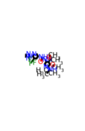 COc1c(NC(C)(C)C)ncc(NC(=O)Nc2cnc(-n3nccn3)c(C(F)(F)F)c2)c1C(C)OC